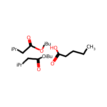 CC(C)COC(=O)CC(C)C.CCC(C)OC(=O)CC(C)C.CCCCC(=O)O